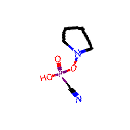 N#CP(=O)(O)ON1CCCC1